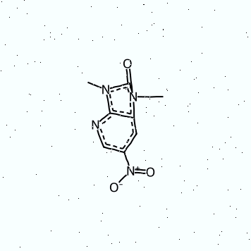 Cn1c(=O)n(C)c2ncc([N+](=O)[O-])cc21